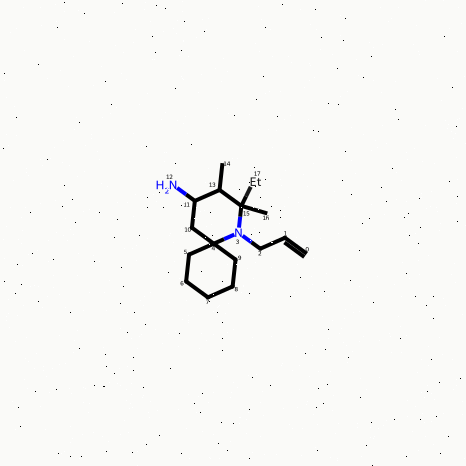 C=CCN1C2(CCCCC2)CC(N)C(C)C1(C)CC